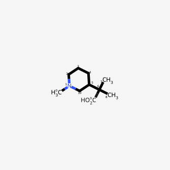 CN1CCCC(C(C)(C)C(=O)O)C1